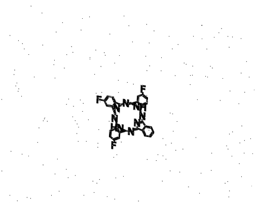 Fc1ccc2c(c1)-c1nc-2nc2[nH]c(nc3nc(nc4[nH]c(n1)c1ccc(F)cc41)-c1ccccc1-3)c1ccc(F)cc21